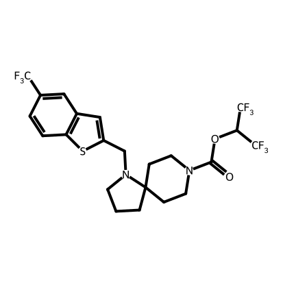 O=C(OC(C(F)(F)F)C(F)(F)F)N1CCC2(CCCN2Cc2cc3cc(C(F)(F)F)ccc3s2)CC1